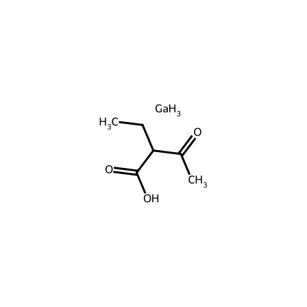 CCC(C(C)=O)C(=O)O.[GaH3]